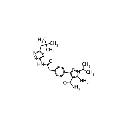 CC(C)n1nc(-c2ccc(CC(=O)Nc3nnc(CC(C)(C)C)s3)cc2)c(C(N)=O)c1N